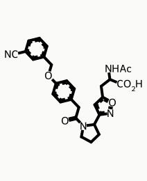 CC(=O)NC(Cc1cc(C2CCCN2C(=O)Cc2ccc(OCc3cccc(C#N)c3)cc2)no1)C(=O)O